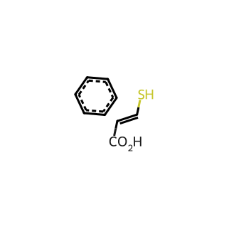 O=C(O)C=CS.c1ccccc1